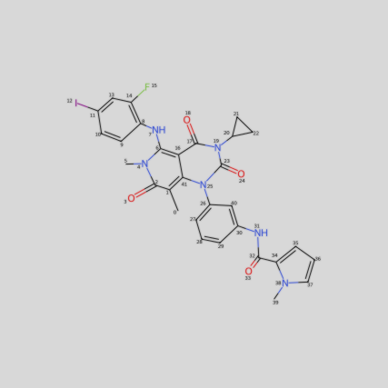 Cc1c(=O)n(C)c(Nc2ccc(I)cc2F)c2c(=O)n(C3CC3)c(=O)n(-c3cccc(NC(=O)c4cccn4C)c3)c12